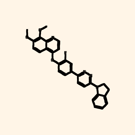 COc1ccc2c(Oc3ccc(-c4ccc(N5CCc6ccccc65)nn4)cc3F)ccnc2c1OC